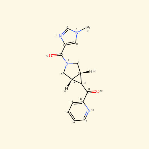 CC(C)n1cnc(C(=O)N2C[C@@H]3C(C(=O)c4ccccn4)[C@@H]3C2)c1